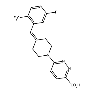 O=C(O)c1ccc(N2CCC(=Cc3cc(F)ccc3C(F)(F)F)CC2)nn1